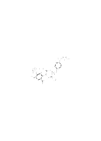 COc1ccc(CN2CC(C(=O)O)C(c3cc(F)c(F)cc3F)CC2=O)cc1